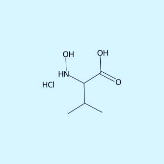 CC(C)C(NO)C(=O)O.Cl